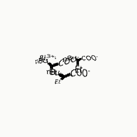 CCCCC(CC)C(=O)[O-].CCCCC(CC)C(=O)[O-].CCCCC(CC)C(=O)[O-].[Bi+3]